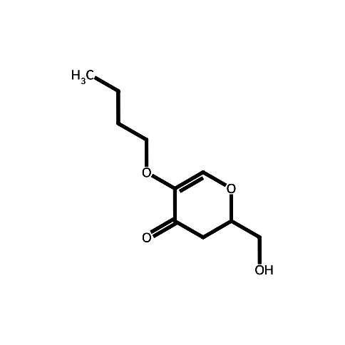 CCCCOC1=COC(CO)CC1=O